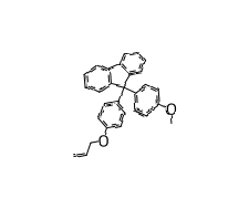 C=CCOc1ccc(C2(c3ccc(OC)cc3)c3ccccc3-c3ccccc32)cc1